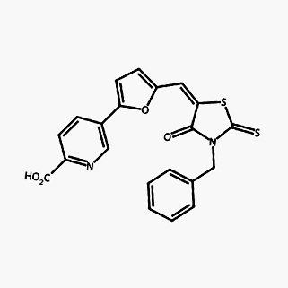 O=C(O)c1ccc(-c2ccc(C=C3SC(=S)N(Cc4ccccc4)C3=O)o2)cn1